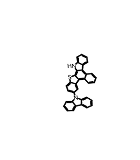 c1ccc2c(c1)[nH]c1c3sc4ccc(-n5c6ccccc6c6ccccc65)cc4c3c3ccccc3c21